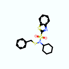 O=S(=O)(c1nc2ccccc2s1)N(SCc1ccccc1)C1CCCCC1